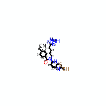 N#CCc1ccc(C(=O)N(CCCCc2nn[nH]n2)c2ccc3nc(S)sc3n2)cc1